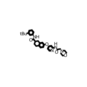 CC(C)(C)c1cccc(NC(=O)C2CCc3ccc(Oc4ccnc(NC(=O)CN5CCOCC5)c4)cc3C2)c1